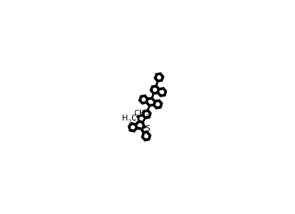 CC1(C)c2cc(-c3c4ccccc4c(-c4ccc(-c5ccccc5)c5ccccc45)c4ccccc34)ccc2-c2c1c1ccccc1c1c2sc2ccccc21